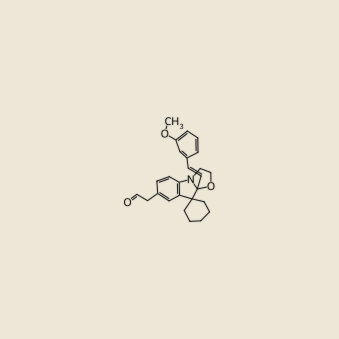 COc1cccc(/C=C/C23OCCN2c2ccc(CC=O)cc2C32CCCCC2)c1